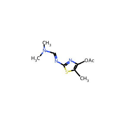 CC(=O)Oc1nc(N=CN(C)C)sc1C